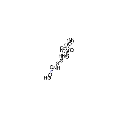 O=C(/C=C/c1ccc(O)cc1)NCCOCCOCCNC(=O)COC(=O)c1ccccc1C1=c2cc3c4c(c2Oc2c1cc1c5c2CCCN5CCC1)CCC[N+]=4CCC3